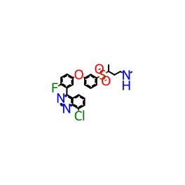 CNCCC(C)S(=O)(=O)c1cccc(Oc2ccc(F)c(-c3ncnc4c(Cl)cccc34)c2)c1